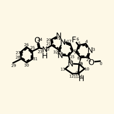 COc1ncc(F)cc1[C@@]12C[C@@H]1CCN2c1ccn2ncc(NC(=O)c3ccc(C)cc3)c2n1